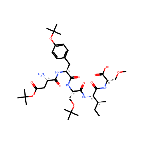 CC[C@H](C)[C@H](NC(=O)[C@H](COC(C)(C)C)NC(=O)[C@H](Cc1ccc(OC(C)(C)C)cc1)NC(=O)[C@@H](N)CC(=O)OC(C)(C)C)C(=O)N[C@@H](COC)C(=O)O